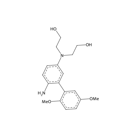 COc1ccc(OC)c(-c2cc(N(CCO)CCO)ccc2N)c1